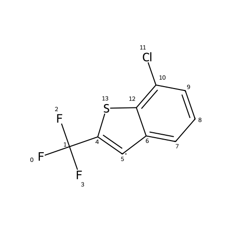 FC(F)(F)c1[c]c2cccc(Cl)c2s1